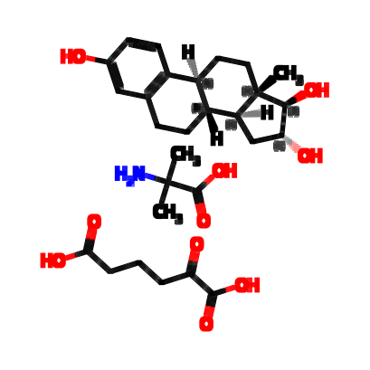 CC(C)(N)C(=O)O.C[C@]12CC[C@@H]3c4ccc(O)cc4CC[C@H]3[C@@H]1C[C@@H](O)[C@@H]2O.O=C(O)CCCC(=O)C(=O)O